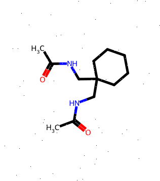 CC(=O)NCC1(CNC(C)=O)CCCCC1